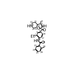 CCc1cc(S(=O)(=O)NC(C)C2CCNCC2)ccc1NC(=O)c1ccccc1C